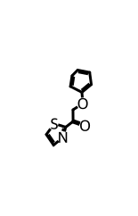 O=C(COc1ccccc1)c1nccs1